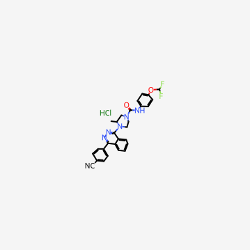 CC1CN(C(=O)Nc2ccc(OC(F)F)cc2)CCN1c1nnc(-c2ccc(C#N)cc2)c2ccccc12.Cl